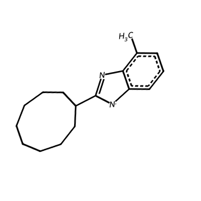 Cc1cccc2c1N=C(C1CCCCCCCC1)[N]2